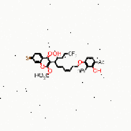 CCCc1c(OCC/C=C\C=C\[C@@H](c2c(OC(=O)O)oc3c(c2=O)=CCC(=S)C=3)[C@H](O)CCC(F)(F)F)ccc(C(C)=O)c1O